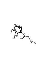 CCCC(=O)Oc1nnn[nH]1